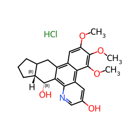 COc1cc2c3c(c4ncc(O)cc4c2c(OC)c1OC)[C@H](O)[C@@H]1CCCC1C3.Cl